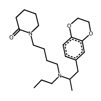 CCCN(CCCCN1CCCCC1=O)C(C)Cc1ccc2c(c1)OCCO2